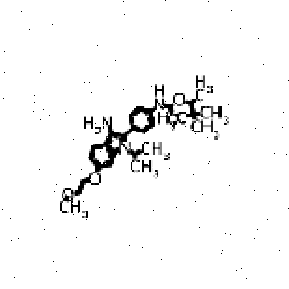 COCCOc1ccc2c(N)c(-c3ccc(NC(=O)OC(C)C(C)(C)C)cc3)n(C(C)C)c2c1